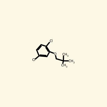 CC(C)(C)COc1cc(Cl)ccc1Cl